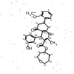 COc1ccccc1C1CC(=O)C2=C(C1)NC(C)=C(C(=O)OC1CCCOCC1)C2c1cccc(O)c1